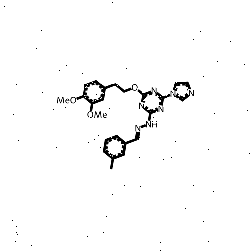 COc1ccc(CCOc2nc(NN=Cc3cccc(C)c3)nc(-n3ccnc3)n2)cc1OC